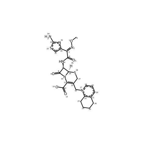 CO/N=C(/C(=O)N[C@@H]1C(=O)N2C(C(=O)[O-])=C(C[n+]3cccc4c3CCCC4)CS[C@H]12)c1csc(N)n1